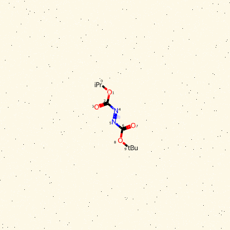 CC(C)OC(=O)/N=N/C(=O)OC(C)(C)C